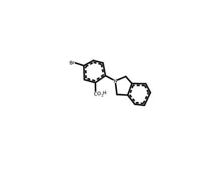 O=C(O)c1cc(Br)ccc1N1Cc2ccccc2C1